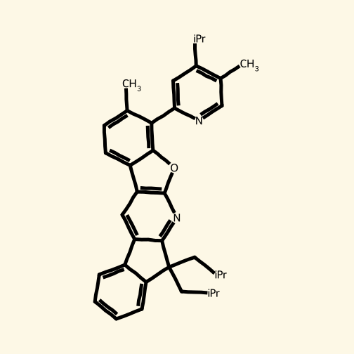 Cc1cnc(-c2c(C)ccc3c2oc2nc4c(cc23)-c2ccccc2C4(CC(C)C)CC(C)C)cc1C(C)C